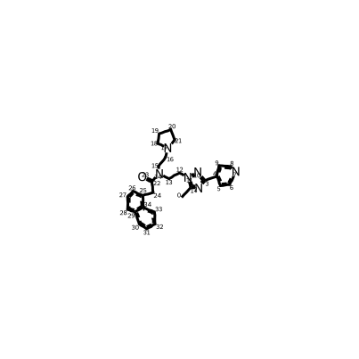 Cc1nc(-c2ccncc2)nn1CCN(CCN1CCCC1)C(=O)Cc1cccc2ccccc12